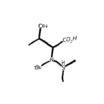 CC(O)C(C(=O)O)N([SiH](C)C)C(C)(C)C